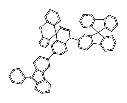 c1ccc(-n2c3ccccc3c3cc(-c4ccc5c(c4)C4(c6ccccc6Oc6ccccc64)c4ccccc4N5c4ccc5c(c4)C4(c6ccccc6-c6ccccc64)c4ccccc4-5)ccc32)cc1